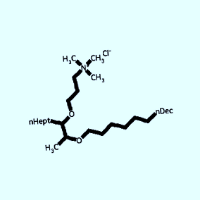 CCCCCCCCCCCCCCCCOC(C)C(CCCCCCC)OCCC[N+](C)(C)C.[Cl-]